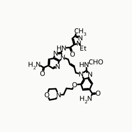 CCn1nc(C)cc1C(=O)Nc1nc2cc(C(N)=O)cnc2n1C/C=C/Cn1c(NC=O)nc2cc(C(N)=O)cc(OCCCN3CCOCC3)c21